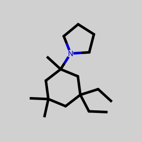 CCC1(CC)CC(C)(C)CC(C)(N2CCCC2)C1